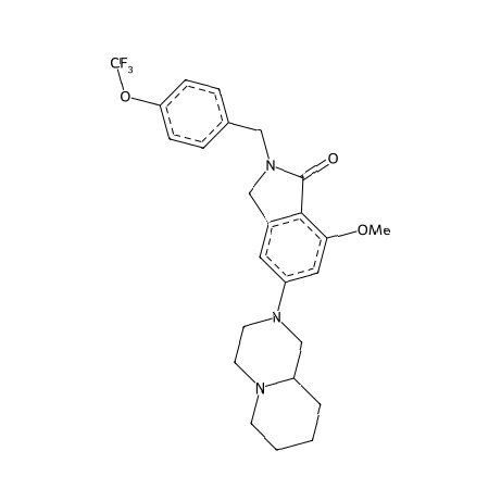 COc1cc(N2CCN3CCCCC3C2)cc2c1C(=O)N(Cc1ccc(OC(F)(F)F)cc1)C2